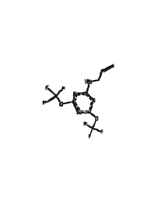 C=CCNc1nc(OC(F)(F)F)nc(OC(F)(F)F)n1